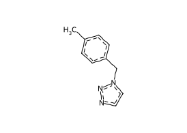 Cc1ccc(Cn2ccnn2)cc1